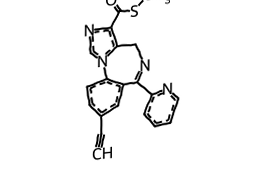 C#Cc1ccc2c(c1)C(c1ccccn1)=NCc1c(C(=O)SC)ncn1-2